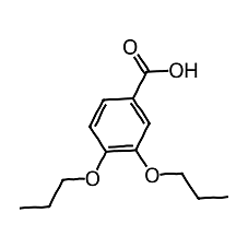 CCCOc1ccc(C(=O)O)cc1OCCC